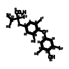 O=C(O)C(I)(Cc1cc(I)c(Oc2cc(I)c(O)c(I)c2)c(I)c1)N(I)I